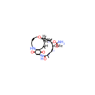 CO[C@H]1/C=C\C=C(/C)C(=O)NC2=CC(=O)C3=C(C[C@@H](C)C[C@H](OC)[C@H](OCC#CCCN3)[C@@H](C)/C=C(\C)[C@@H]1OC(N)=O)C2=O